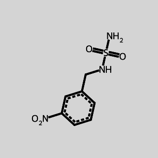 NS(=O)(=O)NCc1cccc([N+](=O)[O-])c1